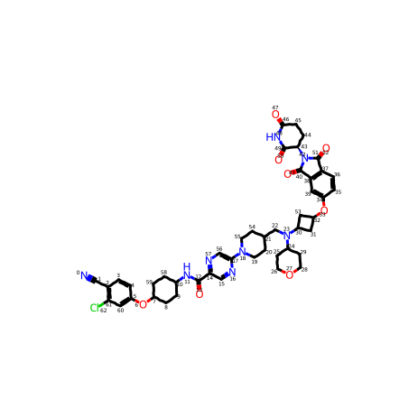 N#Cc1ccc(OC2CCC(NC(=O)c3cnc(N4CCC(CN(C5CCOCC5)C5CC(Oc6ccc7c(c6)C(=O)N([C@@H]6CCC(=O)NC6=O)C7=O)C5)CC4)cn3)CC2)cc1Cl